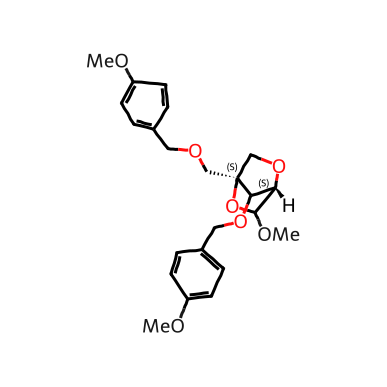 COc1ccc(COC[C@@]23CO[C@H](C(OC)O2)C3OCc2ccc(OC)cc2)cc1